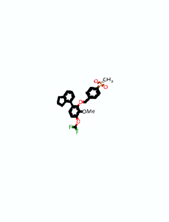 COc1c(OC(F)F)ccc(-c2cccc3c2CCC3)c1OCc1ccc(S(C)(=O)=O)cc1